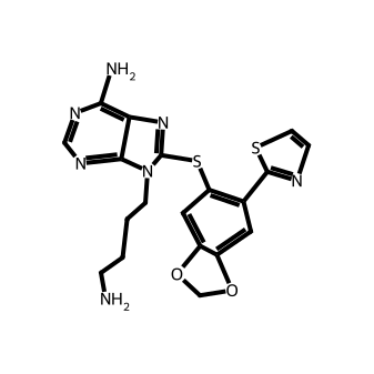 NCCCCn1c(Sc2cc3c(cc2-c2nccs2)OCO3)nc2c(N)ncnc21